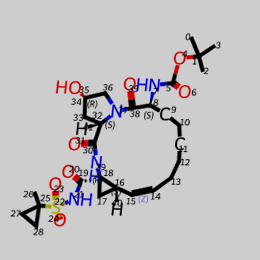 CC(C)(C)OC(=O)N[C@H]1CCCCC/C=C\[C@@H]2C[C@@]2(C(=O)NS(=O)(=O)C2(C)CC2)NC(=O)[C@@H]2C[C@@H](O)CN2C1=O